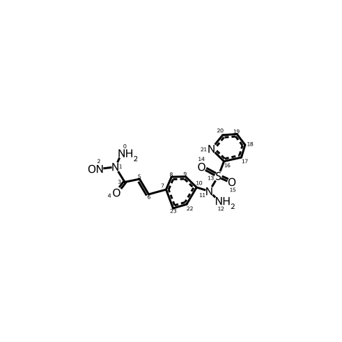 NN(N=O)C(=O)/C=C/c1ccc(N(N)S(=O)(=O)c2ccccn2)cc1